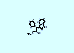 CNCC(O)C(c1ccccc1)c1c[nH]c2ccccc12